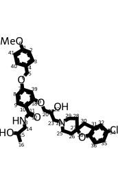 COc1ccc(COc2ccc(C(=O)NCC(C)O)c(OC[C@@H](O)CN3CCC4(CC3)Cc3cc(Cl)ccc3O4)c2)cc1